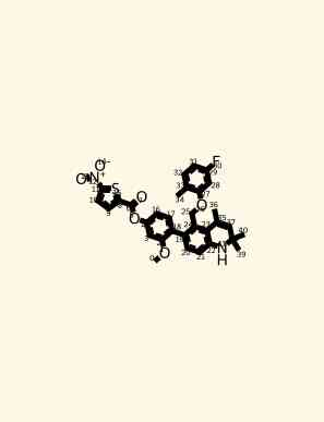 COc1cc(OC(=O)c2ccc([N+](=O)[O-])s2)ccc1-c1ccc2c(c1COc1cc(F)ccc1C)C(C)=CC(C)(C)N2